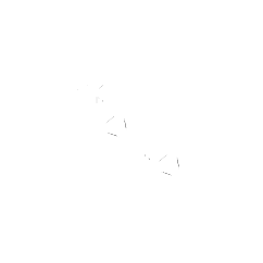 CCOc1ccc(N2CC(Oc3ccc([C@H](C)NC(=O)C4CC(C)C4)cc3)C2)cc1